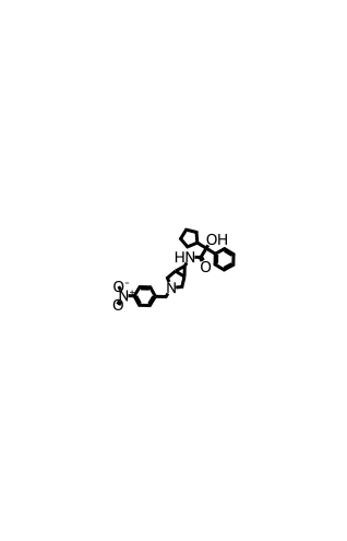 O=C(NC1C2CN(Cc3ccc([N+](=O)[O-])cc3)CC21)C(O)(c1ccccc1)C1CCCC1